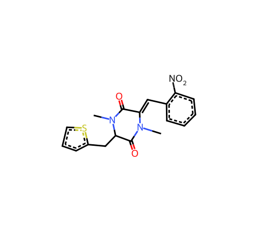 CN1C(=O)C(Cc2cccs2)N(C)C(=O)C1=Cc1ccccc1[N+](=O)[O-]